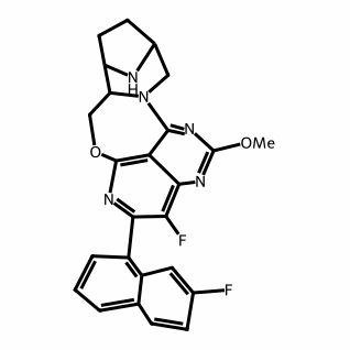 COc1nc2c3c(nc(-c4cccc5ccc(F)cc45)c(F)c3n1)OCC1C3CCC(CN21)N3